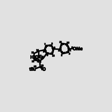 COc1ccc(-c2ccc3c(c2)C2[C@@H](C)C3CCN2C(=O)C(C)(C)C)cc1